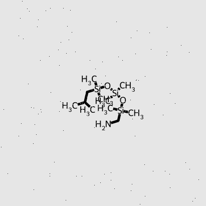 CC(C)C[Si](C)(C)O[Si](C)(C)O[Si](C)(C)CN